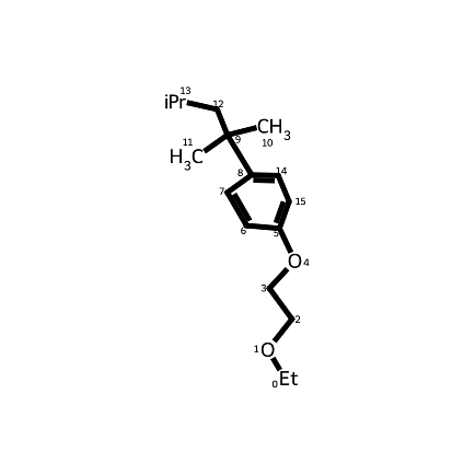 CCOCCOc1ccc(C(C)(C)CC(C)C)cc1